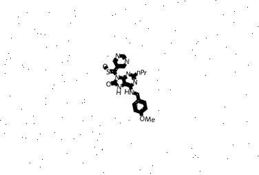 CCCc1nc(NCc2ccc(OC)cc2)c2[nH]c(=O)n(C(=S=O)c3cncnc3)c2n1